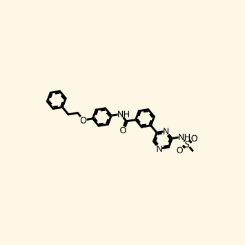 CS(=O)(=O)Nc1cncc(-c2cccc(C(=O)Nc3ccc(OCCc4ccccc4)cc3)c2)n1